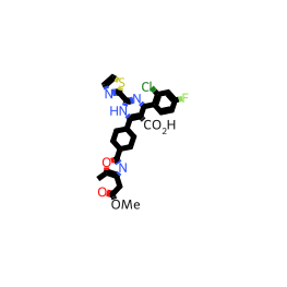 COC(=O)Cc1nc(C2CCC(C3=C(C(=O)O)C(c4ccc(F)cc4Cl)N=C(c4nccs4)N3)CC2)oc1C